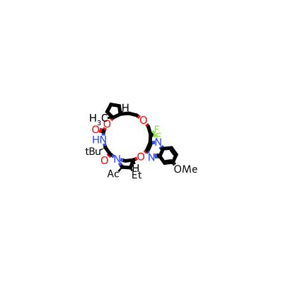 CC[C@@H]1[C@@H]2CN(C(=O)[C@H](C(C)(C)C)NC(=O)O[C@]3(C)CCC[C@H]3CCOCC(F)(F)c3nc4ccc(OC)cc4nc3O2)[C@@H]1C(C)=O